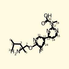 CC(C)CC(C)(N)COc1ncc(-c2ccnc(N(C)C(=O)O)n2)cc1F